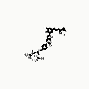 N=C(N)NCC[C@H](CNC(=N)N)OCc1ccc(-n2cc3cc(-c4cc(CCCC(N)C5CC5)cc(Cl)c4F)[nH]c3nc2=O)cc1